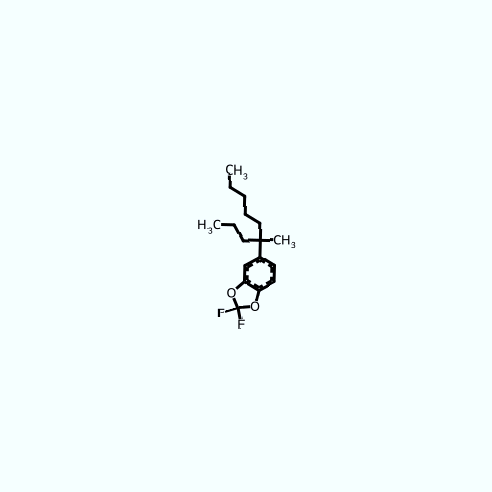 CCCCCC(C)(CCC)c1ccc2c(c1)OC(F)(F)O2